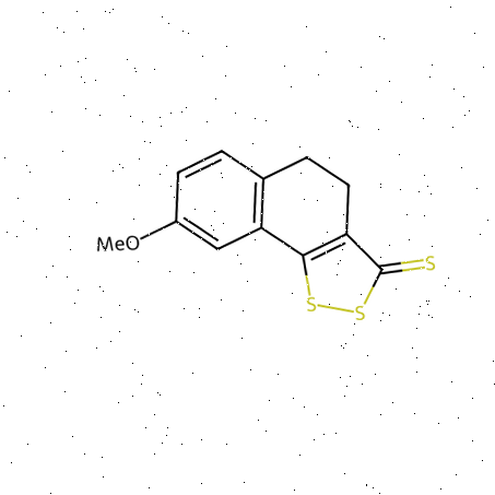 COc1ccc2c(c1)-c1ssc(=S)c1CC2